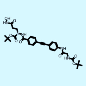 CC(C)(C)OC(=O)NCC(=O)Nc1ccc(C#Cc2ccc(C(=O)NN(CCC(=O)NO)C(=O)OC(C)(C)C)cc2)cc1